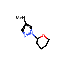 CNc1cnn(C2CCCCO2)c1